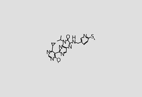 COc1ncnc(C2CC2)c1-c1ncc2nc(NCc3ccc(SC)nc3)c(=O)n(C(C)C)c2n1